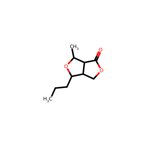 CCCC1OC(C)C2C(=O)OCC12